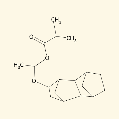 CC(OC(=O)C(C)C)OC1CC2CC1C1C3CCC(C3)C21